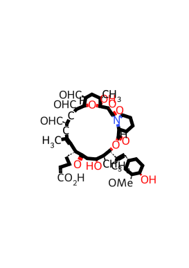 CO[C@@H]1C[C@H](/C=C(\C)[C@H]2OC(=O)[C@@H]3CCCCN3C(=O)C(=O)[C@]3(O)O[C@H]([C@@H](C=O)C[C@@H](C=O)C/C(C)=C/[C@@H](CCCC(=O)O)C(=O)C[C@H](O)[C@H]2C)[C@@H](C=O)C[C@H]3C)CC[C@H]1O